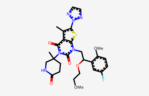 COCCOC(Cn1c(=O)n(C2(C)CCC(=O)NC2)c(=O)c2c(C)c(-n3nccn3)sc21)c1cc(F)ccc1OC